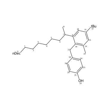 CCCCCCCCCCCCCCCCC(C)c1cc(C(C)(C)C)cc(C)c1Cc1ccc(O)cc1